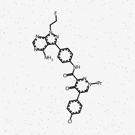 CC(C)n1cc(-c2ccc(Cl)cc2)c(=O)c(C(=O)Nc2ccc(-c3nn(CCF)c4ncnc(N)c34)cc2)n1